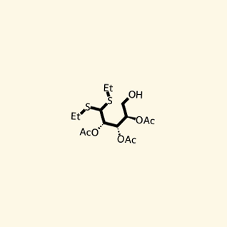 CCSC(SCC)[C@@H](OC(C)=O)[C@@H](OC(C)=O)[C@@H](CO)OC(C)=O